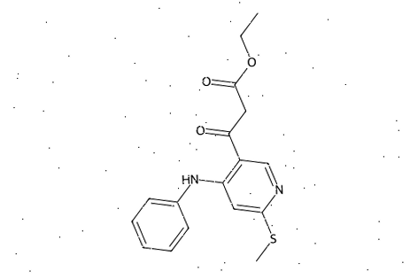 CCOC(=O)CC(=O)c1cnc(SC)cc1Nc1ccccc1